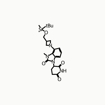 Cn1c(=O)n(C2CCC(=O)NC2=O)c2cccc(N3CC(CO[Si](C)(C)C(C)(C)C)C3)c21